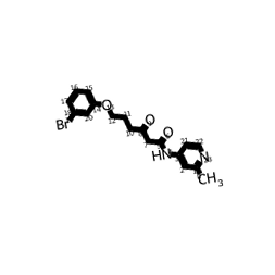 Cc1cc(NC(=O)CC(=O)CCCOc2cccc(Br)c2)ccn1